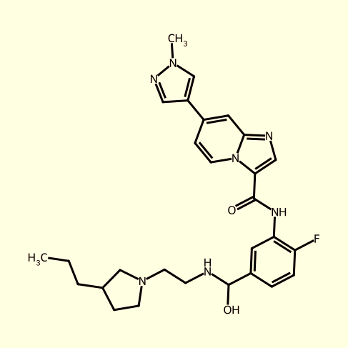 CCCC1CCN(CCNC(O)c2ccc(F)c(NC(=O)c3cnc4cc(-c5cnn(C)c5)ccn34)c2)C1